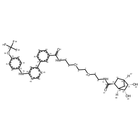 O=C(NCCOCCOCCNC(=O)[C@H]1C[C@@H]2C[C@H]1[C@@H](O)[C@H]2O)c1cccc(-c2cc(Nc3ccc(OC(F)(F)F)cc3)ncn2)c1